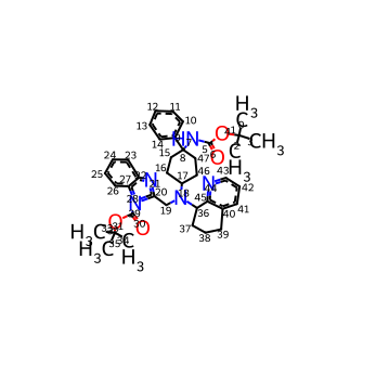 CC(C)(C)OC(=O)NC1(c2ccccc2)CCC(N(Cc2nc3ccccc3n2C(=O)OC(C)(C)C)C2CCCc3cccnc32)CC1